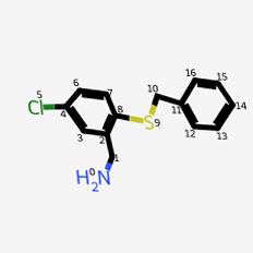 NCc1cc(Cl)ccc1SCc1ccccc1